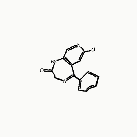 O=C1CN=C(c2ccccc2)c2cc(Cl)ncc2N1